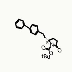 CC(C)(C)OC(=O)N1C(=O)CC[C@H]1CCc1ccc(-c2ccccc2)cc1